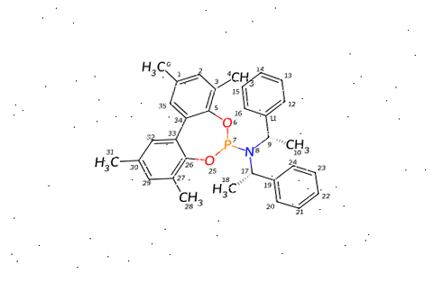 Cc1cc(C)c2op(N([C@@H](C)c3ccccc3)[C@@H](C)c3ccccc3)oc3c(C)cc(C)cc3c2c1